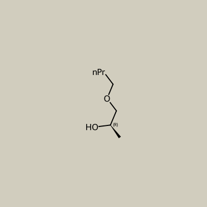 CCCCOC[C@@H](C)O